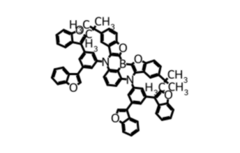 CC(C)(C)c1ccc2oc3c(c2c1)N(c1cc(-c2coc4ccccc24)cc(-c2coc4ccccc24)c1)c1cccc2c1B3c1oc3ccc(C(C)(C)C)cc3c1N2c1cc(-c2coc3ccccc23)cc(-c2coc3ccccc23)c1